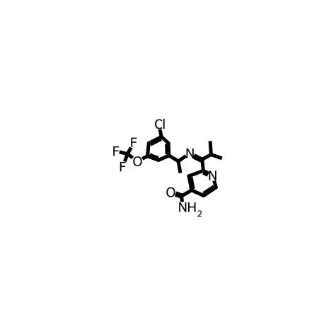 CC(C)C(=NC(C)c1cc(Cl)cc(OC(F)(F)F)c1)c1cc(C(N)=O)ccn1